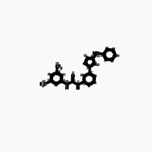 O=C(Nc1cccc(-c2csc(Nc3ccccc3)n2)c1)Nc1cc(C(F)(F)F)cc(C(F)(F)F)c1